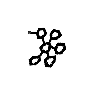 Brc1cccc(-c2cc(-c3ccccc3)c(-c3ccccc3)c(-c3ccccc3)c2-c2ccccc2)c1